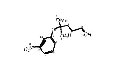 COC(CCCO)(Oc1cccc([N+](=O)[O-])c1)C(=O)O